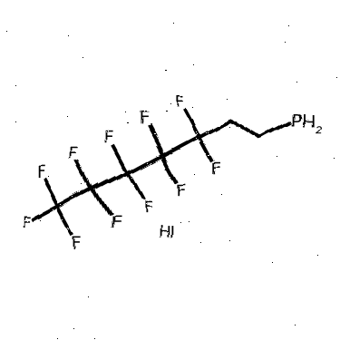 FC(F)(F)C(F)(F)C(F)(F)C(F)(F)C(F)(F)CCP.I